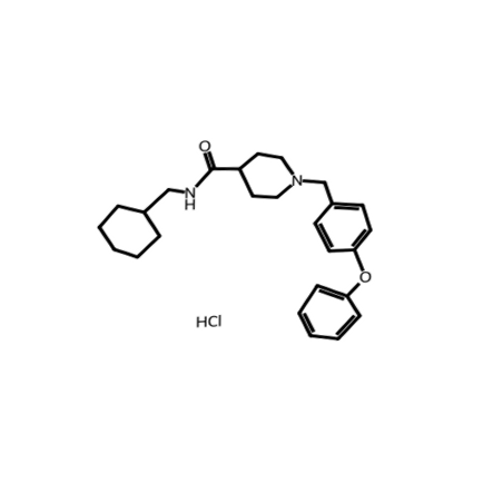 Cl.O=C(NCC1CCCCC1)C1CCN(Cc2ccc(Oc3ccccc3)cc2)CC1